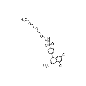 CCOCCOCCOCCNS(=O)(=O)c1ccc(C2CN(C)Cc3c(Cl)cc(Cl)cc32)cc1